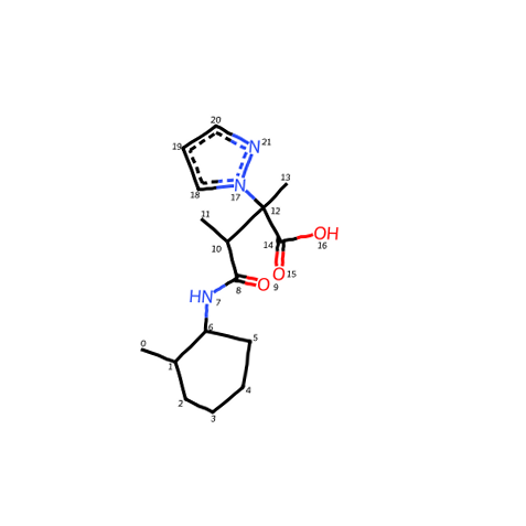 CC1CCCCC1NC(=O)C(C)C(C)(C(=O)O)n1cccn1